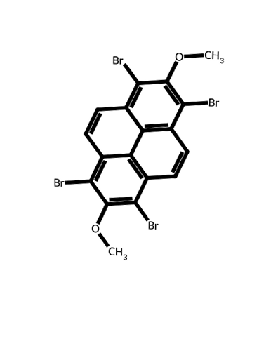 COc1c(Br)c2ccc3c(Br)c(OC)c(Br)c4ccc(c1Br)c2c34